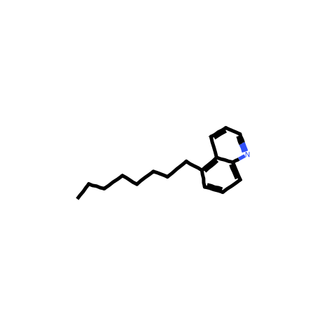 CCCCCCCCc1cccc2ncc[c]c12